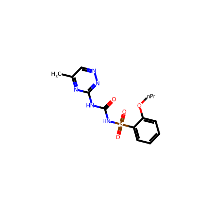 CCCOc1ccccc1S(=O)(=O)NC(=O)Nc1nncc(C)n1